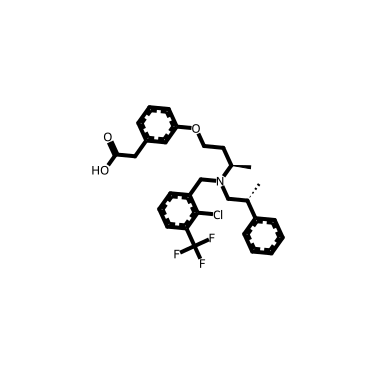 C[C@H](CCOc1cccc(CC(=O)O)c1)N(Cc1cccc(C(F)(F)F)c1Cl)C[C@H](C)c1ccccc1